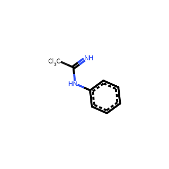 N=C(Nc1ccccc1)C(Cl)(Cl)Cl